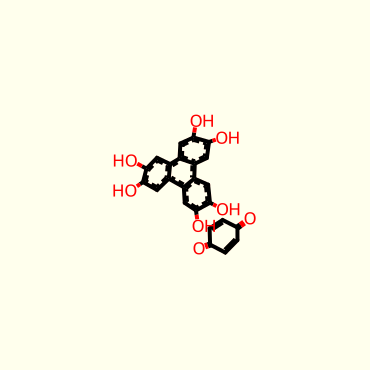 O=C1C=CC(=O)C=C1.Oc1cc2c3cc(O)c(O)cc3c3cc(O)c(O)cc3c2cc1O